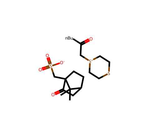 CC1(C)C2CCC1(CS(=O)(=O)[O-])C(=O)C2.CCCCC(=O)C[S+]1CCSCC1